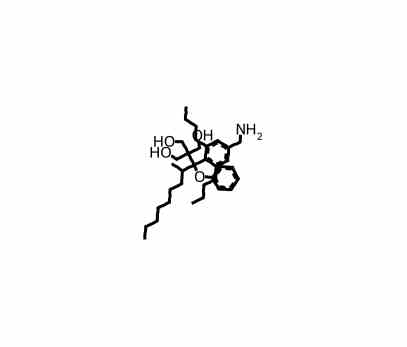 CCCCCCCC(C)C(Oc1ccccc1)(c1c(CCCC)cc(CN)cc1CCCC)C(CO)(CO)CO